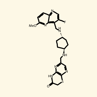 COc1ccc2ncc(F)c(CN[C@H]3CC[C@H](NCc4cnc5c(n4)NC(=O)CS5)CC3)c2n1